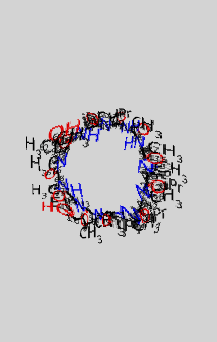 CC[C@@H]1NC(=O)C(C[C@H](C)CCO)N(C)C(=O)C(C(C)C)N(C)C(=O)[C@H](CC(C)C)N(C)C(=O)[C@H](CC(C)C)N(C)C(=O)[C@@H](C)NC(=O)[C@H](C)NC(=O)[C@H](CC(C)C)N(C)C(=O)C(C(C)C)NC(=O)[C@H](CC(C)(C)O)N(C)C(=O)CN(C)C1=O